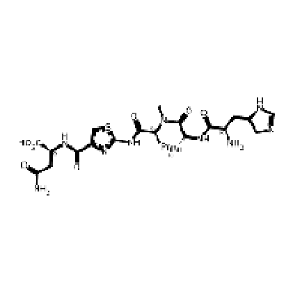 CC[C@@H](C)C(NC(=O)[C@H](N)CC1CN=CN1)C(=O)N(C)[C@H](C(=O)Nc1nc(C(=O)N[C@@H](CC(N)=O)C(=O)O)cs1)C(C)C